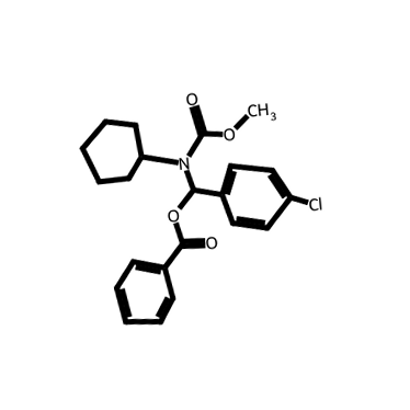 COC(=O)N(C1CCCCC1)C(OC(=O)c1ccccc1)c1ccc(Cl)cc1